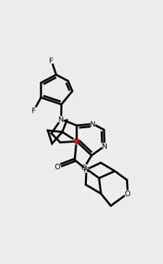 CC1(OC(=O)N2CC3COCC(C2)C3Oc2ncnc3c2CCN3c2ccc(F)cc2F)CC1